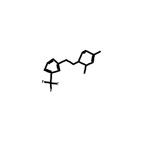 CC1=CC(C)C(CCc2cccc(C(F)(F)F)c2)C=C1